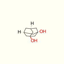 O[C@]12C[C@H]3C[C@H](C1)C[C@@](O)(C3)C2